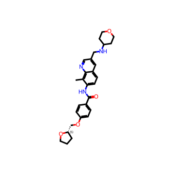 Cc1c(NC(=O)c2ccc(OC[C@@H]3CCCO3)cc2)ccc2cc(CNC3CCOCC3)cnc12